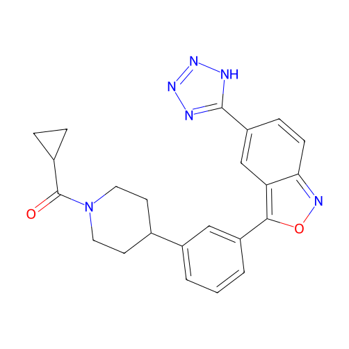 O=C(C1CC1)N1CCC(c2cccc(-c3onc4ccc(-c5nnn[nH]5)cc34)c2)CC1